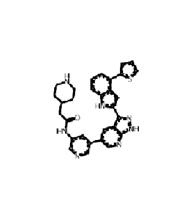 O=C(CC1CCNCC1)Nc1cncc(-c2cnc3[nH]nc(-c4cc5c(-c6cccs6)cccc5[nH]4)c3c2)c1